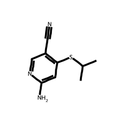 CC(C)Sc1cc(N)ncc1C#N